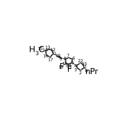 CCCc1ccc(-c2ccc(C#Cc3ccc(C)cc3)c(F)c2F)cc1